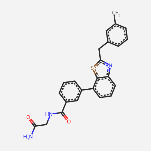 NC(=O)CNC(=O)c1cccc(-c2cccc3nc(Cc4cccc(C(F)(F)F)c4)sc23)c1